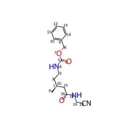 C[C@@H](CCNC(=O)OCc1ccccc1)CC(=O)NCC#N